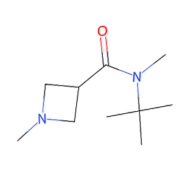 CN1CC(C(=O)N(C)C(C)(C)C)C1